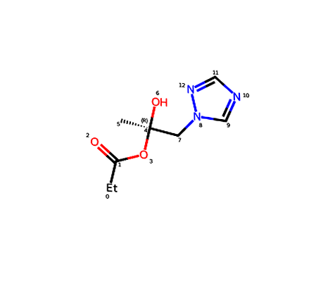 CCC(=O)O[C@@](C)(O)Cn1cncn1